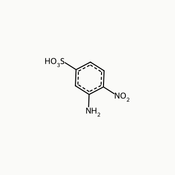 Nc1cc(S(=O)(=O)O)ccc1[N+](=O)[O-]